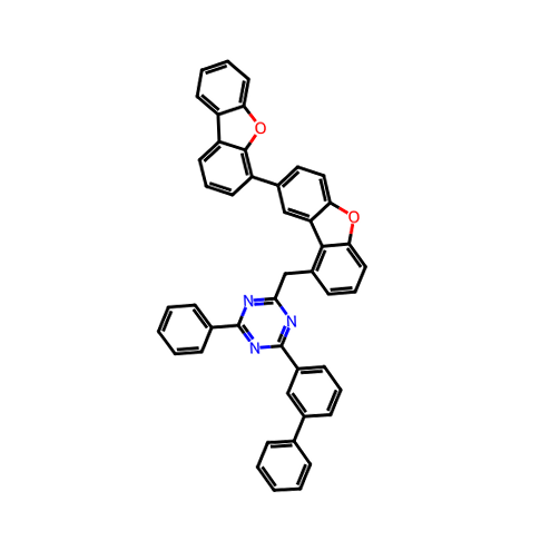 c1ccc(-c2cccc(-c3nc(Cc4cccc5oc6ccc(-c7cccc8c7oc7ccccc78)cc6c45)nc(-c4ccccc4)n3)c2)cc1